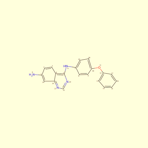 Nc1ccc2c(Nc3ccc(Oc4ccccc4)cc3)ncnc2c1